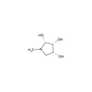 CN1C[C@@H](O)[C@@H](O)[C@H]1O